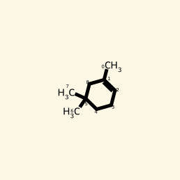 CC1=CCCC(C)(C)C1